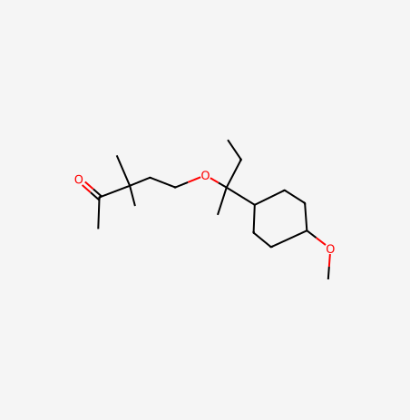 CCC(C)(OCCC(C)(C)C(C)=O)C1CCC(OC)CC1